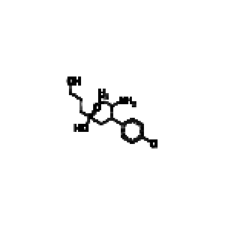 CC(N)C(CP(=O)(O)CCCO)c1ccc(Cl)cc1